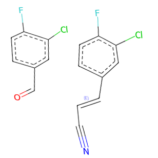 N#C/C=C/c1ccc(F)c(Cl)c1.O=Cc1ccc(F)c(Cl)c1